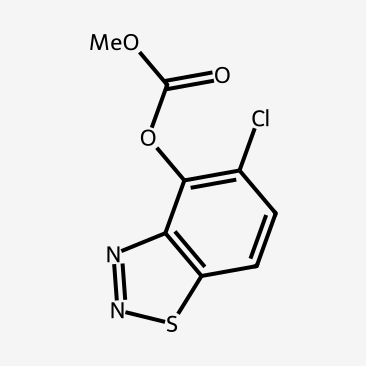 COC(=O)Oc1c(Cl)ccc2snnc12